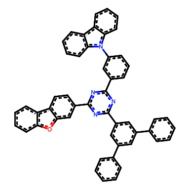 c1ccc(-c2cc(-c3ccccc3)cc(-c3nc(-c4cccc(-n5c6ccccc6c6ccccc65)c4)nc(-c4ccc5c(c4)oc4ccccc45)n3)c2)cc1